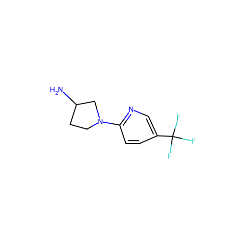 NC1CCN(c2ccc(C(F)(F)F)cn2)C1